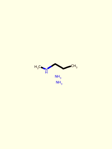 CCCNC.N.N